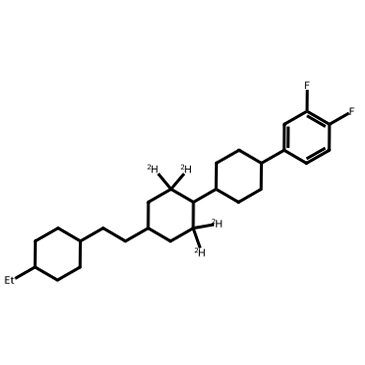 [2H]C1([2H])CC(CCC2CCC(CC)CC2)CC([2H])([2H])C1C1CCC(c2ccc(F)c(F)c2)CC1